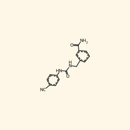 N#Cc1ccc(NC(=O)NCc2cccc(C(N)=O)c2)cc1